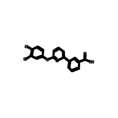 O=C(O)c1cccc(-c2cccc(Oc3ccc(Cl)c(Cl)c3)n2)c1